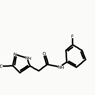 Cc1cc(CC(=O)Nc2cccc(F)c2)[nH]n1